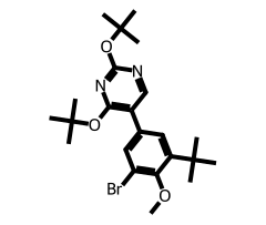 COc1c(Br)cc(-c2cnc(OC(C)(C)C)nc2OC(C)(C)C)cc1C(C)(C)C